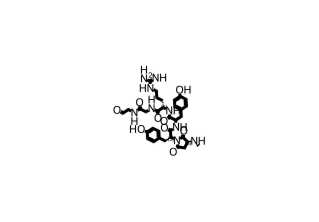 CN[C@H]1CC(=O)N([C@@H](Cc2ccc(O)cc2)C(=O)NC(Cc2ccc(O)cc2)C(=O)N[C@@H](CCCNC(=N)N)C(=O)NCC(=O)NCC=O)C1=O